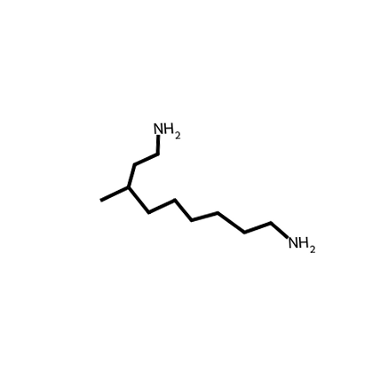 CC(CCN)CCCCCCN